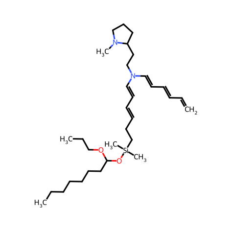 C=CC=CC=CN(C=CC=CCC[Si](C)(C)OC(CCCCCCC)OCCC)CCC1CCCN1C